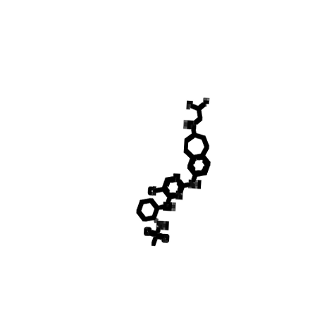 CS(=O)(=O)N[C@@H]1CCCC[C@H]1Nc1nc(Nc2ccc3c(c2)CCC(NCC(F)F)CC3)ncc1Cl